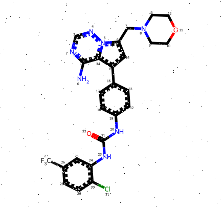 Nc1ncnn2c(CN3CCOCC3)cc(-c3ccc(NC(=O)Nc4cc(C(F)(F)F)ccc4Cl)cc3)c12